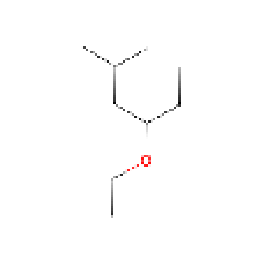 CCOC(CC)CC(C)C